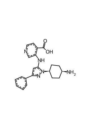 N[C@H]1CC[C@@H](n2nc(-c3ccccc3)cc2Nc2cnccc2C(=O)O)CC1